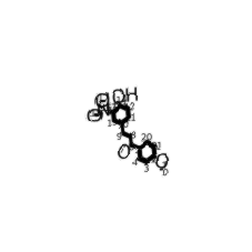 COc1ccc(C(=O)C=Cc2ccc(O)c([N+](=O)[O-])c2)cc1